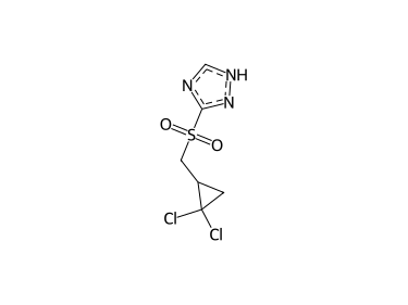 O=S(=O)(CC1CC1(Cl)Cl)c1nc[nH]n1